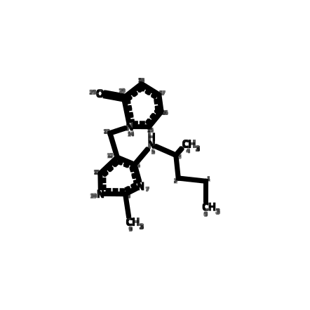 CCCC(C)Nc1nc(C)ncc1Cn1ccccc1=O